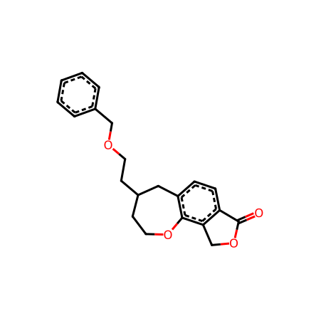 O=C1OCc2c1ccc1c2OCCC(CCOCc2ccccc2)C1